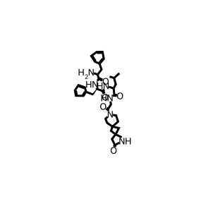 CC(C)CC(NC(=O)[C@@H](Cc1ccccc1)NC(=O)C(N)Cc1ccccc1)C(=O)NCC(=O)N1CCC2(CC1)CC1(CNC(=O)C1)C2